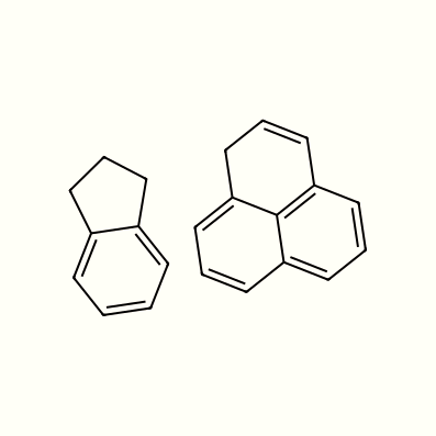 C1=Cc2cccc3cccc(c23)C1.c1ccc2c(c1)CCC2